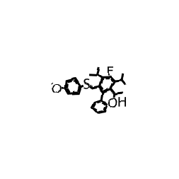 COc1ccc(SCc2c(-c3ccccc3)c(C(C)O)c(C(C)C)c(F)c2C(C)C)cc1